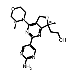 C[C@H]1COCCN1c1nc(-c2cnc(N)nc2)nc2c1CO[C@]2(C)CCO